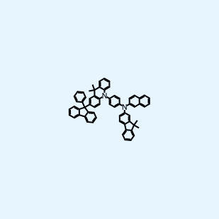 CC1(C)c2ccccc2-c2ccc(N(c3ccc(N4c5ccccc5C(C)(C)c5cc(C6(c7ccccc7)c7ccccc7-c7ccccc76)ccc54)cc3)c3ccc4ccccc4c3)cc21